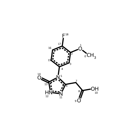 COc1cc(-n2c(CC(=O)O)n[nH]c2=O)ccc1F